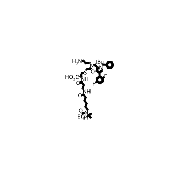 CCC(=O)N(CCCCCC(=O)NCCC(=O)N[C@@H](CSCC(=O)N(CCCN)[C@@H](c1cc(-c2cc(F)ccc2F)cn1Cc1ccccc1)C(C)(C)C)C(=O)O)C(C)(C)C(C)C